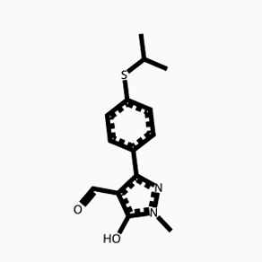 CC(C)Sc1ccc(-c2nn(C)c(O)c2C=O)cc1